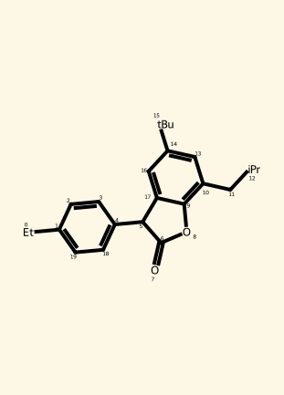 CCc1ccc(C2C(=O)Oc3c(CC(C)C)cc(C(C)(C)C)cc32)cc1